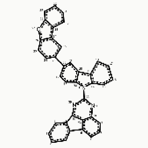 c1ccc2c(c1)-c1cccc3nc(-n4c5ccccc5c5cc(-c6ccc7oc8ccccc8c7c6)ccc54)nc-2c13